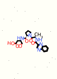 C[C@H](NC(=O)c1cnc2ccccc2n1)C(=O)N1CCC[C@H]1C(=O)NC(C=O)CC(=O)O